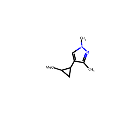 COC1CC1c1cn(C)nc1C